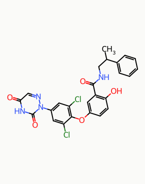 CC(CNC(=O)c1cc(Oc2c(Cl)cc(-n3ncc(=O)[nH]c3=O)cc2Cl)ccc1O)c1ccccc1